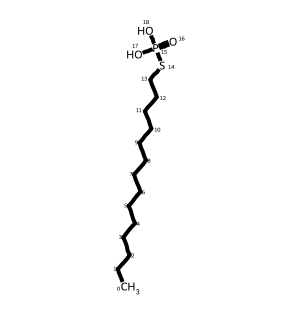 CCCCCCCCCCCCCCSP(=O)(O)O